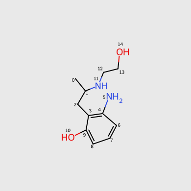 CC(Cc1c(N)cccc1O)NCCO